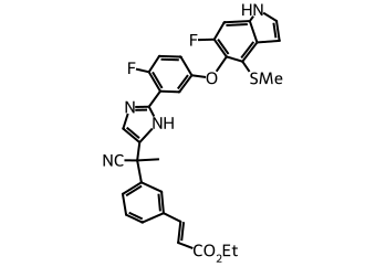 CCOC(=O)/C=C/c1cccc(C(C)(C#N)c2cnc(-c3cc(Oc4c(F)cc5[nH]ccc5c4SC)ccc3F)[nH]2)c1